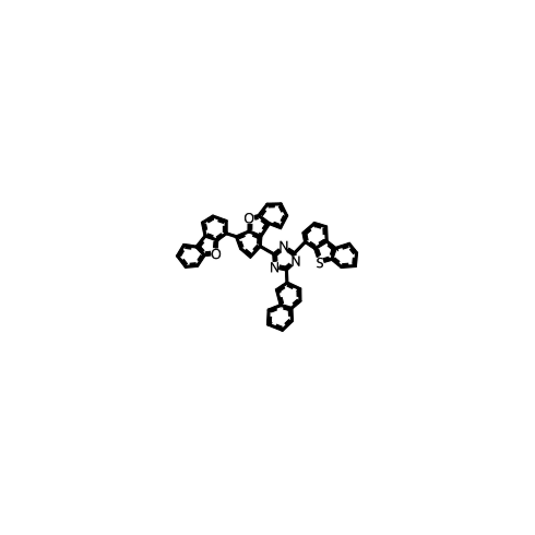 c1ccc2cc(-c3nc(-c4cccc5c4sc4ccccc45)nc(-c4ccc(-c5cccc6c5oc5ccccc56)c5oc6ccccc6c45)n3)ccc2c1